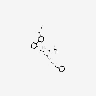 CCOC(=O)c1cccc(-c2ccccc2NC(=O)[C@H](CCCNC(=O)OCc2ccccc2)NC(=O)OC(C)(C)C)c1